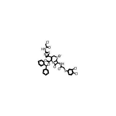 O=C(CCl)Nc1ncc(C2=C(C(=O)OC(c3ccccc3)c3ccccc3)N3C(=O)C(NC(=O)CSc4ccc(Cl)c(Cl)c4)C3[S+]([O-])C2)s1